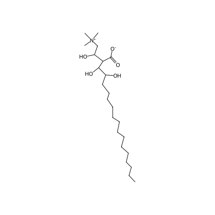 CCCCCCCCCCCCCCC(O)C(O)C(C(=O)[O-])C(O)C[N+](C)(C)C